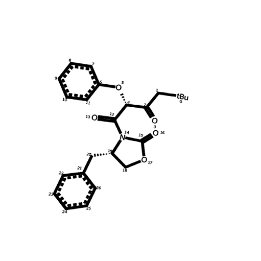 CC(C)(C)CC(=O)[C@@H](Oc1ccccc1)C(=O)N1C(=O)OC[C@@H]1Cc1ccccc1